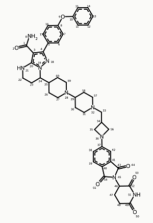 NC(=O)c1c(-c2ccc(Oc3ccccc3)cc2)nn2c1NCCC2C1CCN(C2CCN(CC3CN(c4ccc5c(c4)C(=O)N(C4CCC(=O)NC4=O)C5=O)C3)CC2)CC1